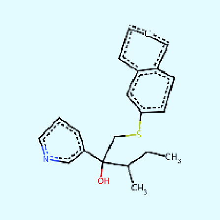 CCC(C)C(O)(CSc1ccc2ccccc2c1)c1cccnc1